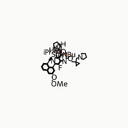 COCOc1cc(-c2ncc3c(N4C[C@H]5CC[C@@H](C4)N5C(=O)OC(C)(C)C)nc(OCC4(CN5CCCC5)CC4)nc3c2F)c2c(C#C[Si](C(C)C)(C(C)C)C(C)C)cccc2c1